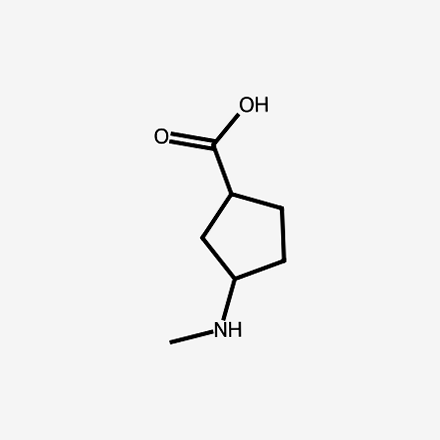 CNC1CCC(C(=O)O)C1